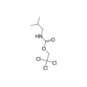 CC(C)[CH]NC(=O)OCC(Cl)(Cl)Cl